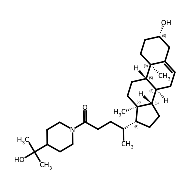 CC(CCC(=O)N1CCC(C(C)(C)O)CC1)[C@H]1CC[C@H]2[C@@H]3CC=C4C[C@@H](O)CC[C@]4(C)[C@H]3CC[C@]12C